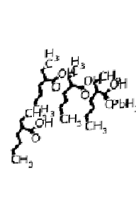 CCCCC(CC)C(=O)O.CCCCC(CC)C(=O)O.CCCCC(CC)C(=O)O.CCCCC(CC)C(=O)O.[PbH2]